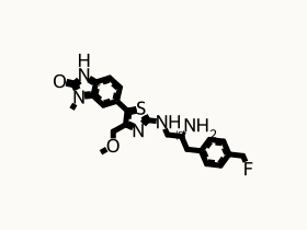 COCc1nc(NC[C@@H](N)Cc2ccc(CF)cc2)sc1-c1ccc2[nH]c(=O)n(C)c2c1